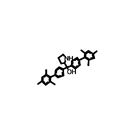 Cc1cc(C)c(-c2ccc(C(O)(c3ccc(-c4c(C)cc(C)cc4C)cc3)C3CCCN3)cc2)c(C)c1